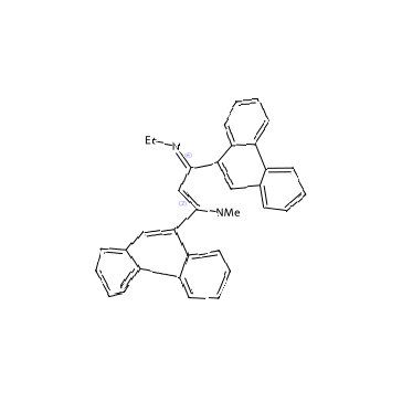 CC/N=C(\C=C(/NC)c1cc2ccccc2c2ccccc12)c1cc2ccccc2c2ccccc12